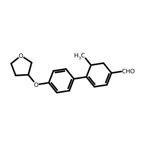 CC1CC(C=O)=CC=C1c1ccc(OC2CCOC2)cc1